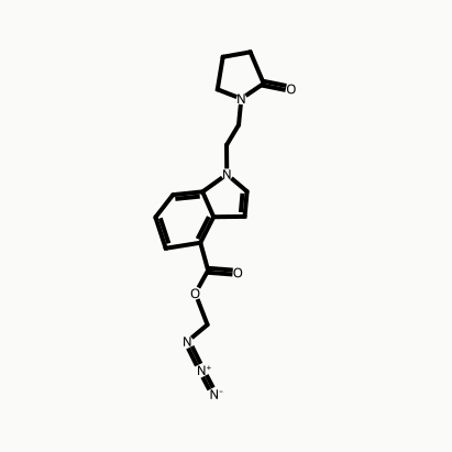 [N-]=[N+]=NCOC(=O)c1cccc2c1ccn2CCN1CCCC1=O